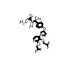 CC(=O)N[C@@H](C)c1ccc(O[C@@H]2CCN(c3ccnc(OCC(F)F)c3OCC(F)F)C2)cc1